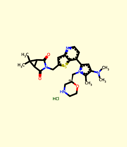 Cc1c(N(C)C)cc(-c2ccnc3cc(CN4C(=O)C5C(C4=O)C5(C)C)sc23)n1C[C@@H]1CNCCO1.Cl